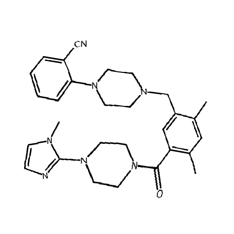 Cc1cc(C)c(C(=O)N2CCN(c3nccn3C)CC2)cc1CN1CCN(c2ccccc2C#N)CC1